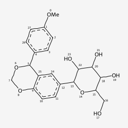 COc1ccc(C2OCOc3ccc(C4OC(CO)C(O)C(O)C4O)cc32)cc1